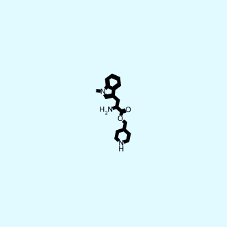 Cn1cc(CC(N)C(=O)OCC2CCNCC2)c2ccccc21